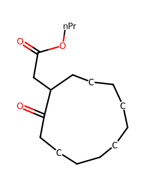 CCCOC(=O)CC1CCCCCCCCCCC1=O